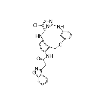 O=C(Cc1noc2ccccc12)Nc1ccc2cc1CCc1cccc(c1)Nc1ncc(Cl)c(n1)N2